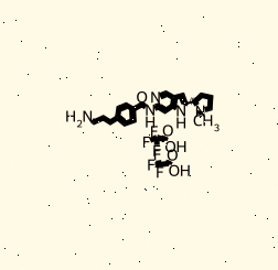 CN1CCC[C@@H]1c1cc2cnc(NC(=O)c3ccc(CCCN)cc3)cc2[nH]1.O=C(O)C(F)(F)F.O=C(O)C(F)(F)F